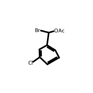 CC(=O)OC(Br)c1cccc(Cl)c1